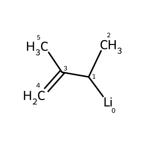 [Li][CH](C)C(=C)C